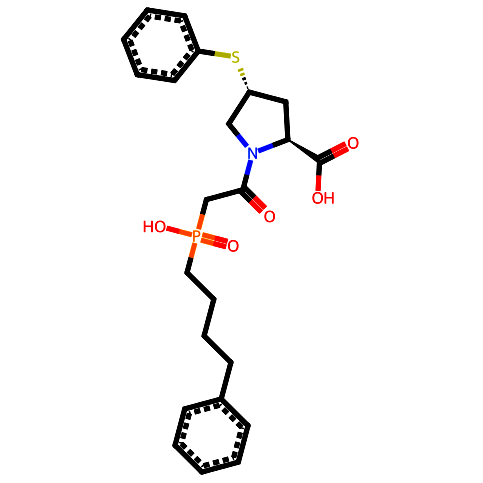 O=C(O)[C@@H]1C[C@@H](Sc2ccccc2)CN1C(=O)CP(=O)(O)CCCCc1ccccc1